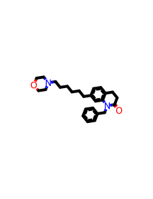 O=C1CCc2ccc(CCCCCCN3CCOCC3)cc2N1Cc1ccccc1